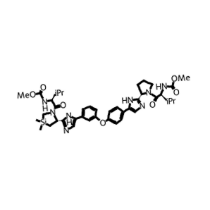 COC(=O)N[C@H](C(=O)N1CCC[C@H]1c1ncc(-c2ccc(Oc3cccc(-c4cnc([C@@H]5C[Si](C)(C)CN5C(=O)[C@@H](NC(=O)OC)C(C)C)[nH]4)c3)cc2)[nH]1)C(C)C